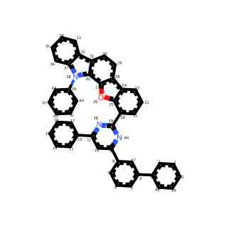 c1ccc(-c2cccc(-c3cc(-c4ccccc4)nc(-c4cccc5c4oc4c5ccc5c6ccccc6n(-c6ccccc6)c54)n3)c2)cc1